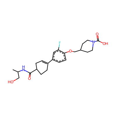 CC(CO)NC(=O)C1CC=C(c2ccc(OCC3CCN(C(=O)O)CC3)c(F)c2)CC1